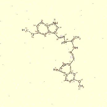 C=C(N/N=C/c1c[nH]c2ccc(OC)cc12)N/N=C/c1c[nH]c2ccc(OC)cc12